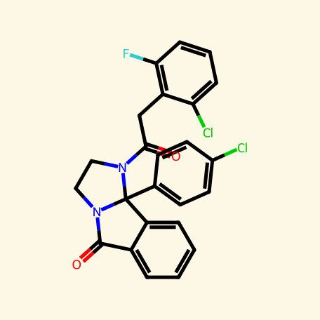 O=C(Cc1c(F)cccc1Cl)N1CCN2C(=O)c3ccccc3C12c1ccc(Cl)cc1